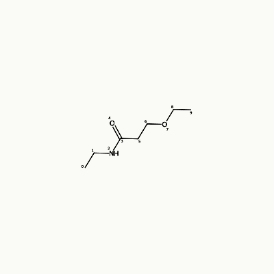 CCNC(=O)CCOCC